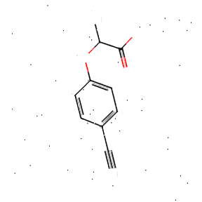 C#Cc1ccc(OC(C)C(=O)O)cc1